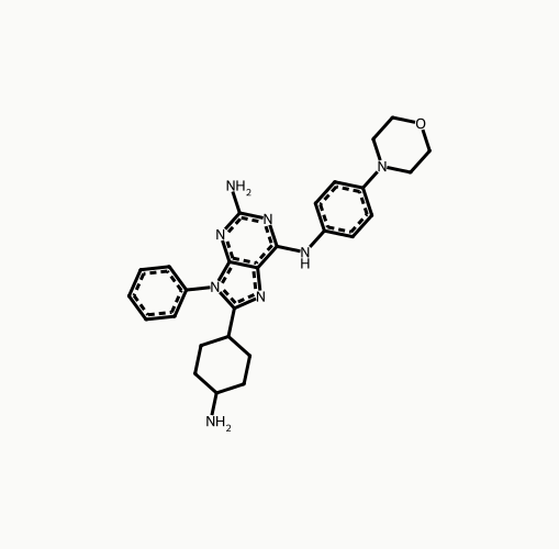 Nc1nc(Nc2ccc(N3CCOCC3)cc2)c2nc(C3CCC(N)CC3)n(-c3ccccc3)c2n1